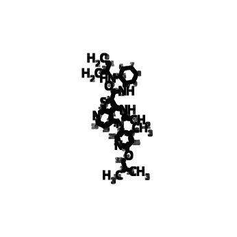 C=CC(=C)N[C@H]1CCCC[C@H]1NC(=O)c1sc2nccc3c2c1[nH]c(=C)n3-c1cnc(OCC(C)C)cc1C